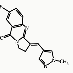 Cn1cc(C=C2CCn3c2nc2ccc(F)cc2c3=O)cn1